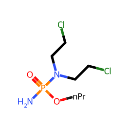 CCCOP(N)(=O)N(CCCl)CCCl